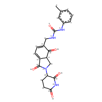 Cc1cccc(NC(=O)NCC2=CC=C3C(=O)N(C4CCC(=O)NC4=O)CC3C2=O)c1